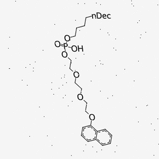 CCCCCCCCCCCCCCOP(=O)(O)OCCOCCOCCOc1cccc2ccccc12